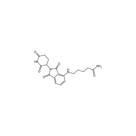 NC(=O)CCCCNc1cccc2c1C(=O)N(C1CCC(=O)NC1=O)C2=O